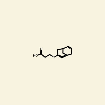 O=C(O)CCOC1=C=C2CC=CC(C2)C1